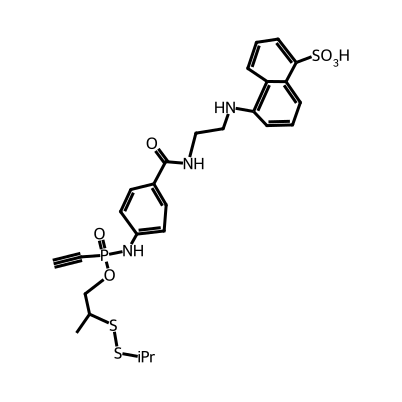 C#CP(=O)(Nc1ccc(C(=O)NCCNc2cccc3c(S(=O)(=O)O)cccc23)cc1)OCC(C)SSC(C)C